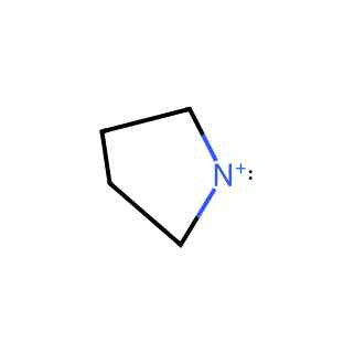 C1CC[N+]C1